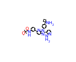 COC(C)(C)C(=O)Nc1cccc(-c2ccc3nc(-c4cccnc4N)n(-c4ccc(C5(N)CCC5)cc4)c3n2)c1